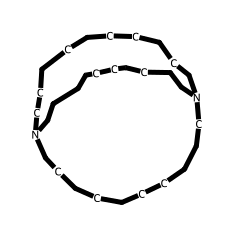 C1CCCCCN2CCCCCCCCCCN(CCCC1)CCCCCCCCCC2